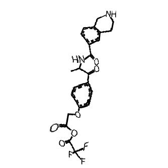 CC(NC(=O)c1ccc2c(c1)CCNC2)C(=O)c1ccc(OCC(=O)OC(=O)C(F)(F)F)cc1